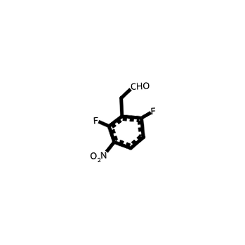 O=CCc1c(F)ccc([N+](=O)[O-])c1F